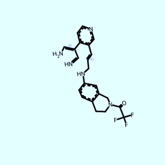 N=C/C(=C\N)c1ccncc1/C=C/CNc1ccc2c(c1)CN(C(=O)C(F)(F)F)CC2